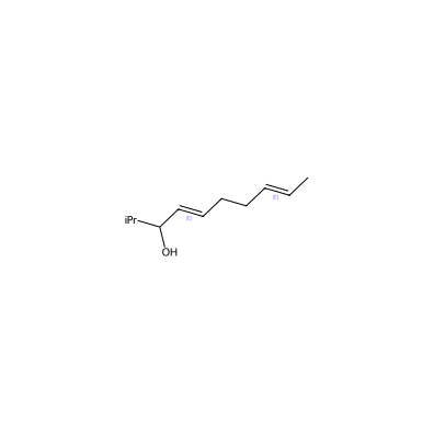 C/C=C/CC/C=C/C(O)C(C)C